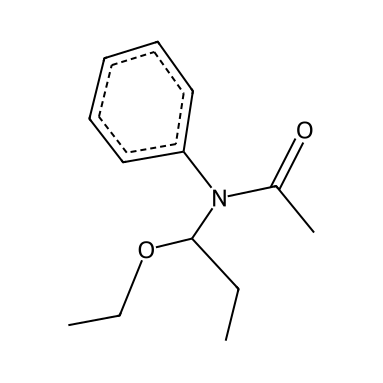 CCOC(CC)N(C(C)=O)c1ccccc1